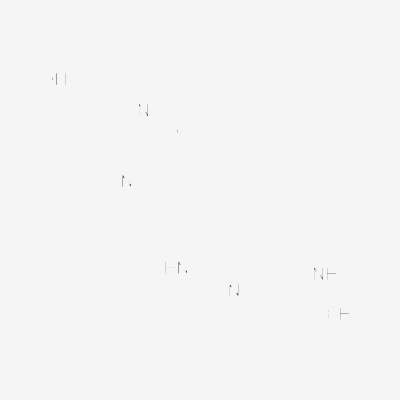 CNc1cc(-c2nc(CO)no2)[nH]n1